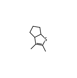 CC1=C(C)C2CCCC2S1